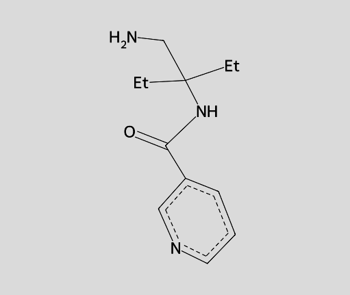 CCC(CC)(CN)NC(=O)c1cccnc1